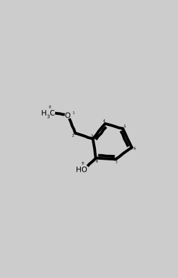 COCc1cc[c]cc1O